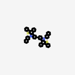 c1ccc2cc(-n3c4ccc(-c5ccc6c(c5)c5c7ccccc7c7c8ccccc8sc7c5n6-c5ccc6ccccc6c5)cc4c4c5ccccc5c5c6ccccc6sc5c43)ccc2c1